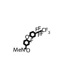 CNC(=O)c1ccc(Oc2ccc(C(F)(F)C(F)(F)C(F)(F)F)cc2)c(F)c1